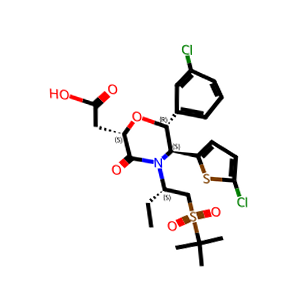 CC[C@@H](CS(=O)(=O)C(C)(C)C)N1C(=O)[C@H](CC(=O)O)O[C@H](c2cccc(Cl)c2)[C@H]1c1ccc(Cl)s1